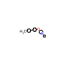 [CH2]C1=CCC(c2ccc(OC3CCN(C4CCC4)CC3)cc2)=CC1